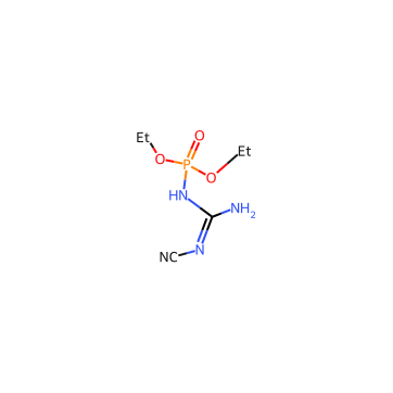 CCOP(=O)(N/C(N)=N\C#N)OCC